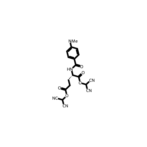 CNc1ccc(C(=O)N[C@@H](CCC(=O)OC(C#N)C#N)C(=O)OC(C#N)C#N)cc1